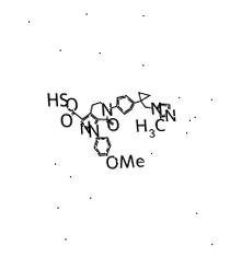 COc1ccc(-n2nc(C(=O)OS)c3c2C(=O)N(c2ccc(C4(Cn5ccnc5C)CC4)cc2)CC3)cc1